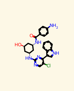 Nc1ccc(C(=O)N[C@H]2C[C@H](O)C[C@@H](Nc3ncc(Cl)c(-c4c[nH]c5ccccc45)n3)C2)cc1